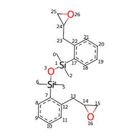 C[Si](C)(O[Si](C)(C)c1ccccc1CC1CO1)c1ccccc1CC1CO1